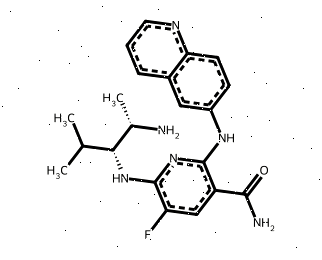 CC(C)[C@@H](Nc1nc(Nc2ccc3ncccc3c2)c(C(N)=O)cc1F)[C@H](C)N